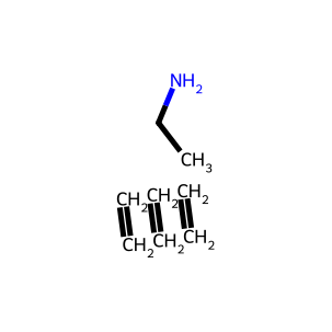 C=C.C=C.C=C.CCN